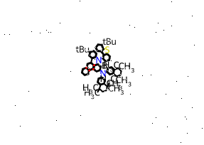 CC(C)(C)c1ccc(N2c3cc(-c4ccccc4)cc4c3B(c3cc5c(cc3N4c3ccc4c(c3)C(C)(C)CCC4(C)C)C(C)(C)CCC5(C)C)c3ccc4sc5c(C(C)(C)C)cccc5c4c32)c(-c2ccccc2)c1